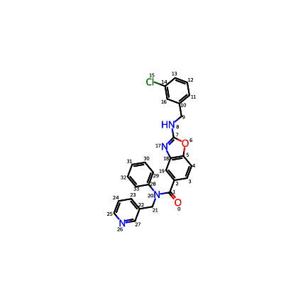 O=C(c1ccc2oc(NCc3cccc(Cl)c3)nc2c1)N(Cc1cccnc1)c1ccccc1